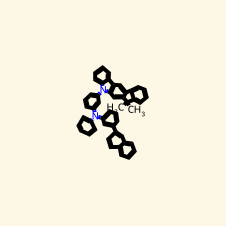 CC1(C)c2ccccc2-c2cc3c4ccccc4n(-c4cccc(N(c5ccccc5)c5cccc(-c6ccc7ccccc7c6)c5)c4)c3cc21